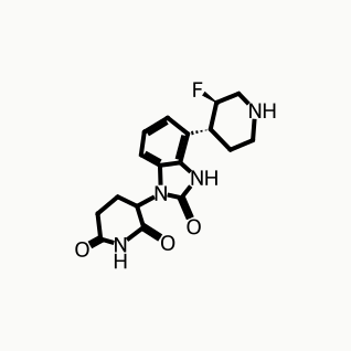 O=C1CCC(n2c(=O)[nH]c3c([C@H]4CCNC[C@@H]4F)cccc32)C(=O)N1